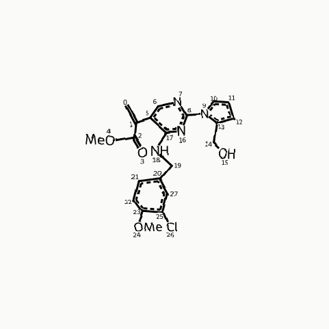 C=C(C(=O)OC)c1cnc(-n2cccc2CO)nc1NCc1ccc(OC)c(Cl)c1